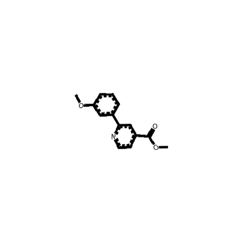 COC(=O)c1ccnc(-c2cccc(OC)c2)c1